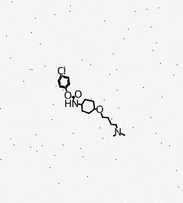 CN(C)CCCCOC1CCC(NC(=O)Oc2ccc(Cl)cc2)CC1